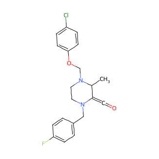 CC1C(=C=O)N(Cc2ccc(F)cc2)CCN1COc1ccc(Cl)cc1